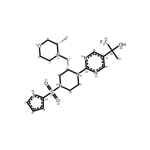 C[C@H]1COCCN1C[C@H]1CN(S(=O)(=O)c2cccs2)CCN1c1ncc(C(C)(O)C(F)(F)F)cn1